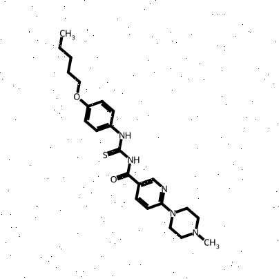 CCCCCOc1ccc(NC(=S)NC(=O)c2ccc(N3CCN(C)CC3)nc2)cc1